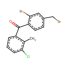 Cc1c(Cl)cccc1C(=O)c1ccc(CBr)cc1Br